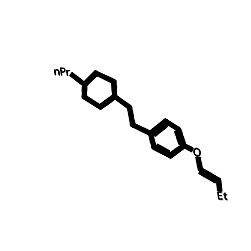 CCC=COc1ccc(CCC2CCC(CCC)CC2)cc1